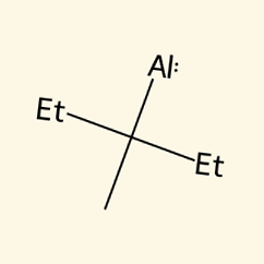 CC[C](C)([Al])CC